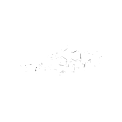 Cc1nc2ccc(C(O)(c3cncn3C)C3CCN(C(=O)OC(C)(C)C)CC3)cc2c(C(F)(F)F)c1C(=O)N1CCCCC1